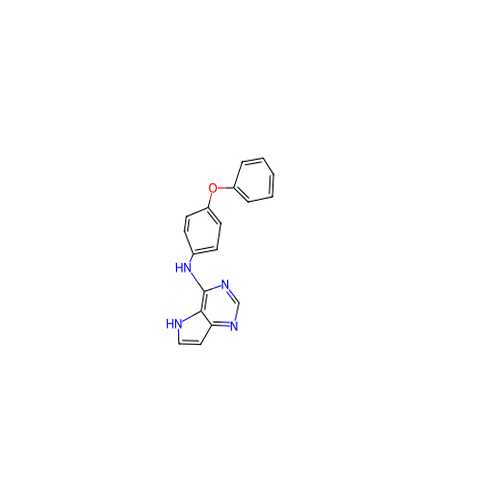 c1ccc(Oc2ccc(Nc3ncnc4cc[nH]c34)cc2)cc1